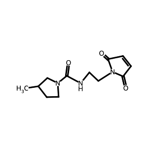 CC1CCN(C(=O)NCCN2C(=O)C=CC2=O)C1